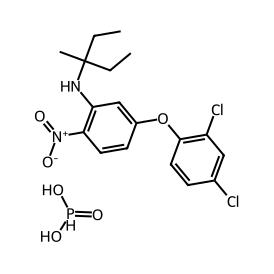 CCC(C)(CC)Nc1cc(Oc2ccc(Cl)cc2Cl)ccc1[N+](=O)[O-].O=[PH](O)O